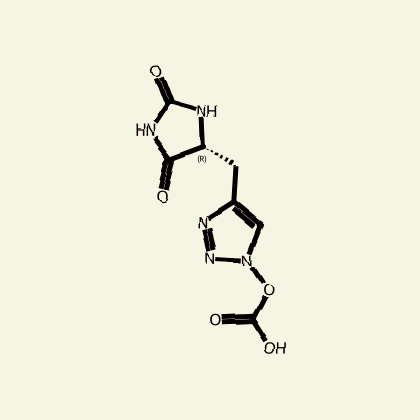 O=C1NC(=O)[C@@H](Cc2cn(OC(=O)O)nn2)N1